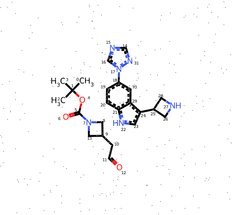 CC(C)(C)OC(=O)N1CC(CC=O)C1.c1ncn(-c2ccc3[nH]cc(C4CNC4)c3c2)n1